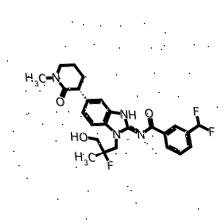 CN1CCC[C@H](c2ccc3c(c2)[nH]/c(=N\C(=O)c2cccc(C(F)F)c2)n3C[C@](C)(F)CO)C1=O